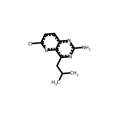 CC(C)Cc1nc(N)nc2ccc(Cl)nc12